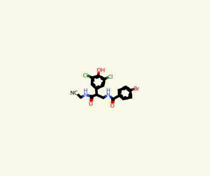 N#CCNC(=O)C(CNC(=O)c1ccc(Br)cc1)c1cc(Cl)c(O)c(Cl)c1